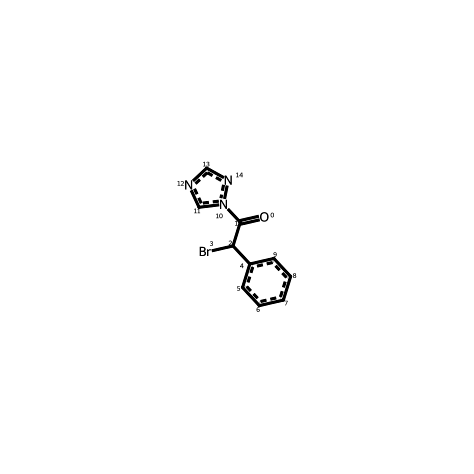 O=C(C(Br)c1ccccc1)n1cncn1